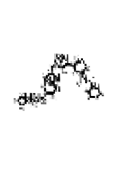 CN(Cc1ccccc1)c1cncc(-c2cn(Cc3cn4cc(CNCC5CCC5)ccc4n3)nn2)c1